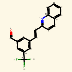 O=Cc1cc(/C=C/c2ccc3ccccc3n2)cc(C(F)(F)F)c1